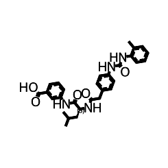 Cc1ccccc1NC(=O)Nc1ccc(CC(=O)N[C@@H](CC(C)C)C(=O)Nc2cccc(C(=O)O)c2)cc1